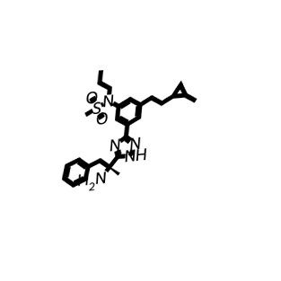 CCCN(c1cc(CCC2CC2C)cc(-c2n[nH]c([C@](C)(N)Cc3ccccc3)n2)c1)S(C)(=O)=O